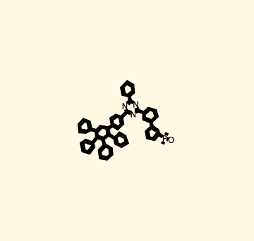 CP(C)(=O)c1cccc(-c2cccc(-c3nc(-c4ccccc4)nc(-c4ccc(-c5cc(-c6ccccc6)c(-c6ccccc6)c(-c6ccccc6)c5-c5ccccc5)cc4)n3)c2)c1